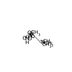 Cn1c(=O)n(C2CCC(=O)NC2=O)c2ccc(CCCCC3CCN(C(C)(C)C)CC3)cc21